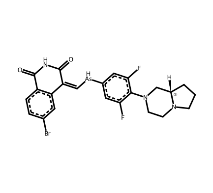 O=C1NC(=O)c2ccc(Br)cc2C1=C[AsH]c1cc(F)c(N2CCN3CCC[C@H]3C2)c(F)c1